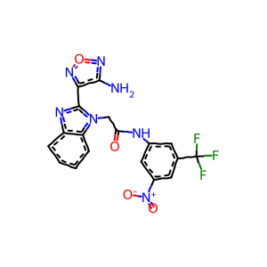 Nc1nonc1-c1nc2ccccc2n1CC(=O)Nc1cc([N+](=O)[O-])cc(C(F)(F)F)c1